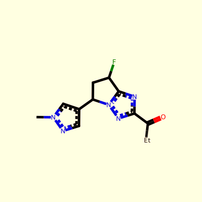 CCC(=O)c1nc2n(n1)C(c1cnn(C)c1)CC2F